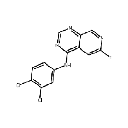 Fc1cc2c(Nc3ccc(Cl)c(Cl)c3)ncnc2cn1